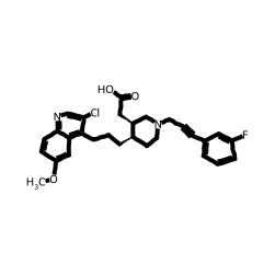 COc1ccc2ncc(Cl)c(CCC[C@@H]3CCN(CC#Cc4cccc(F)c4)C[C@@H]3CC(=O)O)c2c1